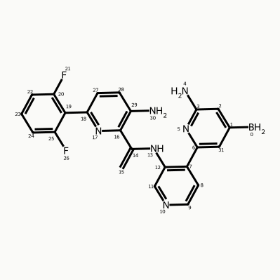 Bc1cc(N)nc(-c2ccncc2NC(=C)c2nc(-c3c(F)cccc3F)ccc2N)c1